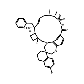 C[C@@H]1[C@@H](C)C/C=C/[C@](O)(Cc2ccccn2)[C@@H]2CC[C@H]2CN2C[C@@]3(CCCc4cc(Cl)ccc43)COc3ccc(cc32)C(=O)NS1(=O)=O